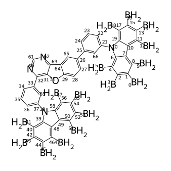 Bc1c(B)c(B)c2c(c1B)c1c(B)c(B)c(B)c(B)c1n2-c1cccc(-c2ccc3oc4c(-c5cccc(-n6c7c(B)c(B)c(B)c(B)c7c7c(B)c(B)c(B)c(B)c76)c5)ncnc4c3c2)c1